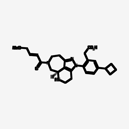 COC/C=C/C(=O)N1CCc2nn(-c3ccc(C4CCC4)cc3CC(=O)O)c3c2[C@H](C1)NCC3